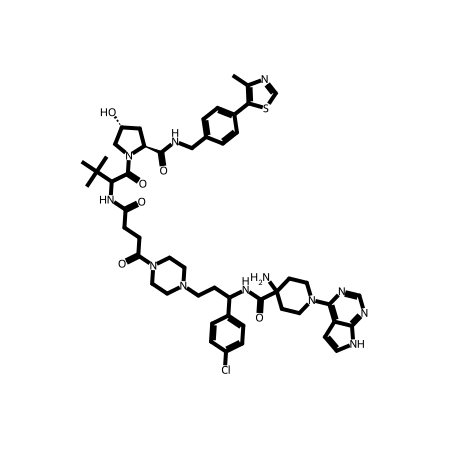 Cc1ncsc1-c1ccc(CNC(=O)[C@@H]2C[C@@H](O)CN2C(=O)C(NC(=O)CCC(=O)N2CCN(CCC(NC(=O)C3(N)CCN(c4ncnc5[nH]ccc45)CC3)c3ccc(Cl)cc3)CC2)C(C)(C)C)cc1